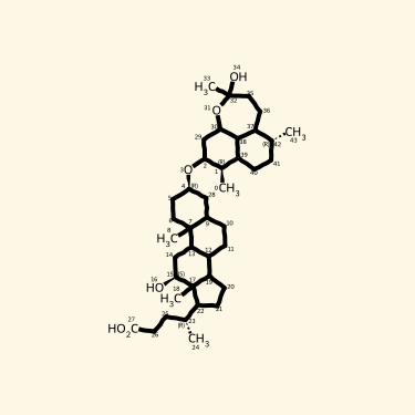 C[C@H]1C(O[C@@H]2CCC3(C)C(CCC4C3C[C@H](O)C3(C)C4CCC3[C@H](C)CCC(=O)O)C2)CC2OC(C)(O)CCC3C2C1CC[C@H]3C